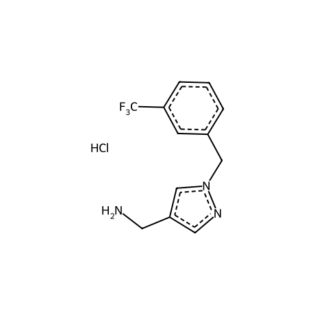 Cl.NCc1cnn(Cc2cccc(C(F)(F)F)c2)c1